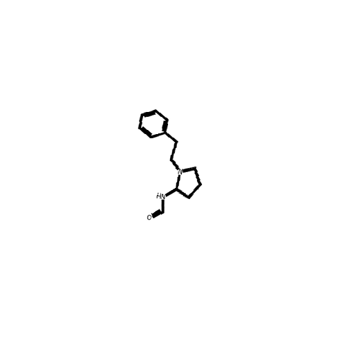 O=CNC1CCCN1CCc1ccccc1